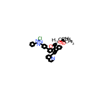 CC1(C)OB(c2ccc3c(c2)C2(c4ccccc4Oc4c(-c5ccc(-c6nc(Cl)nc(-c7ccccc7)n6)cc5)cccc42)c2cc(-c4cccc5cccnc45)ccc2-3)OC1(C)C